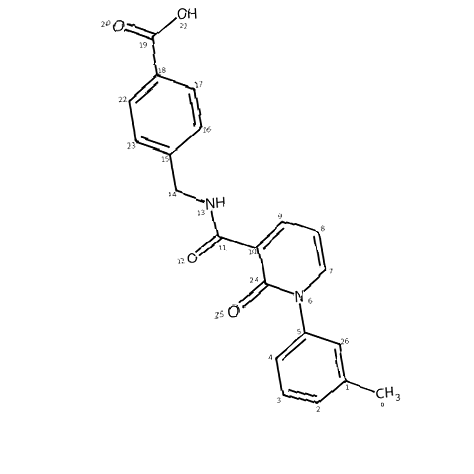 Cc1cccc(-n2cccc(C(=O)NCc3ccc(C(=O)O)cc3)c2=O)c1